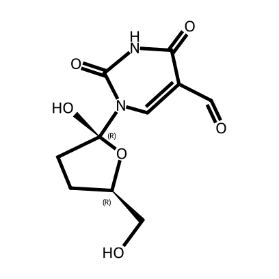 O=Cc1cn([C@@]2(O)CC[C@H](CO)O2)c(=O)[nH]c1=O